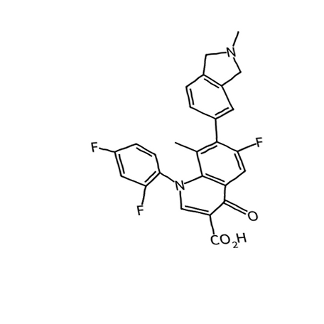 Cc1c(-c2ccc3c(c2)CN(C)C3)c(F)cc2c(=O)c(C(=O)O)cn(-c3ccc(F)cc3F)c12